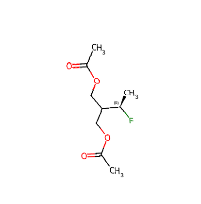 CC(=O)OCC(COC(C)=O)[C@@H](C)F